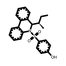 CC[C@@H](C)C1c2ccccc2-c2ccccc2N1S(=O)(=O)c1ccc(O)cc1